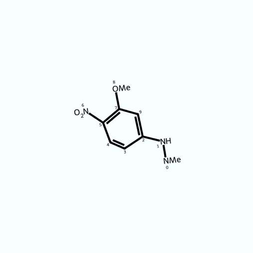 CNNc1ccc([N+](=O)[O-])c(OC)c1